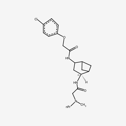 CCCN(C)CC(=O)N[C@H]1CC(NC(=O)COc2ccc(Cl)cc2)C2CC1C2